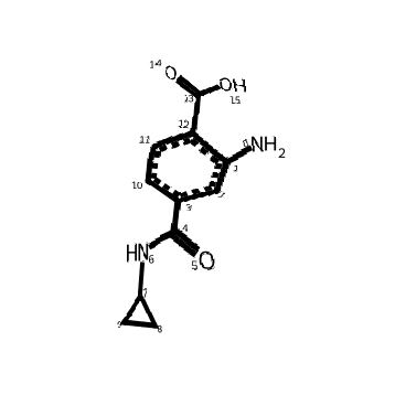 Nc1cc(C(=O)NC2CC2)ccc1C(=O)O